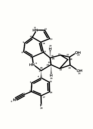 N#Cc1cc([C@@H]2Nc3ccc4[nH]ccc4c3[C@H]3C4CC(C(O)C4O)[C@@H]23)ccc1F